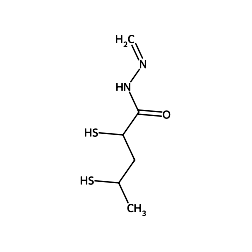 C=NNC(=O)C(S)CC(C)S